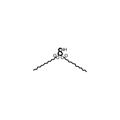 CCCCCCCCCCCCCC(=O)Oc1cc2cc[nH]c2cc1OC(=O)CCCCCCCCCCCCC